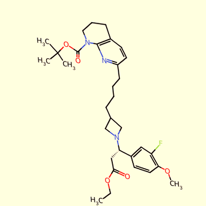 CCOC(=O)C[C@@H](c1ccc(OC)c(F)c1)N1CC(CCCCc2ccc3c(n2)N(C(=O)OC(C)(C)C)CCC3)C1